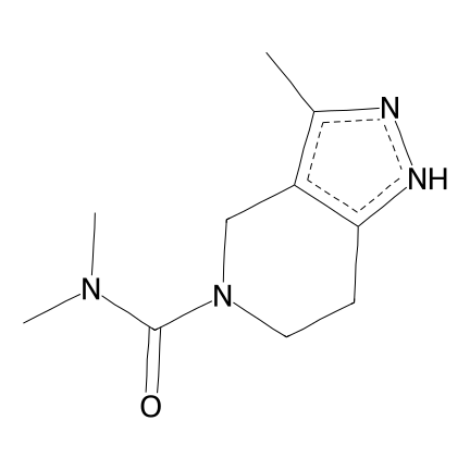 Cc1n[nH]c2c1CN(C(=O)N(C)C)CC2